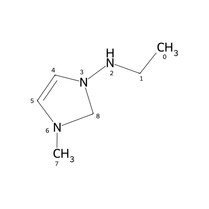 CCNN1C=CN(C)C1